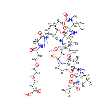 CC[C@H](C)[C@@H]([C@@H](CC(=O)N1CCC[C@H]1[C@H](OC)[C@@H](C)C(=O)N[C@@H](CC(C)C)C(=O)NS(=O)(=O)C1CC1)OC)N(C)C(=O)[C@@H](NC(=O)C(C(C)C)N(C)C(=O)OCc1ccc(NC(=O)[C@H](C)NC(=O)CCOCCOCCC(=O)O)cc1)C(C)C